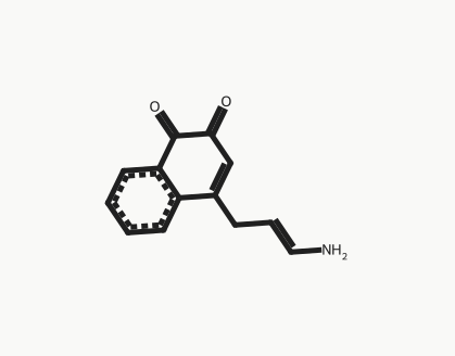 NC=CCC1=CC(=O)C(=O)c2ccccc21